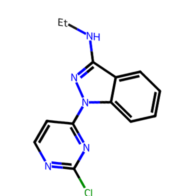 CCNc1nn(-c2ccnc(Cl)n2)c2ccccc12